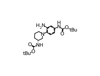 CC(C)(C)OC(=O)Nc1ccc(N2CCC[C@@H](NC(=O)OC(C)(C)C)C2)c(N)c1